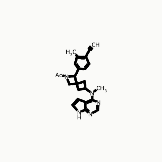 C#Cc1ccc(C2N(C(C)=O)CC23CC(N(C)c2ncnc4[nH]ccc24)C3)cc1C